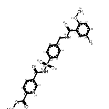 COC(=O)c1ccc(C(=O)NS(=O)(=O)c2ccc(CNC(=O)c3cc(Cl)ccc3OC)cc2)cn1